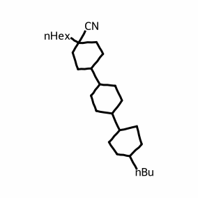 CCCCCCC1(C#N)CCC(C2CCC(C3CCC(CCCC)CC3)CC2)CC1